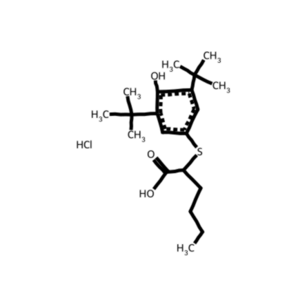 CCCCC(Sc1cc(C(C)(C)C)c(O)c(C(C)(C)C)c1)C(=O)O.Cl